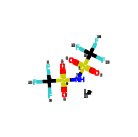 O=S(=O)(NS(=O)(=O)C(F)(F)F)C(F)(F)F.[La]